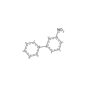 O=[N+]([O-])c1[c]ccc(-c2cc[c]cc2)c1